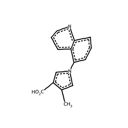 Cc1cn(-c2cccc3ncccc23)cc1C(=O)O